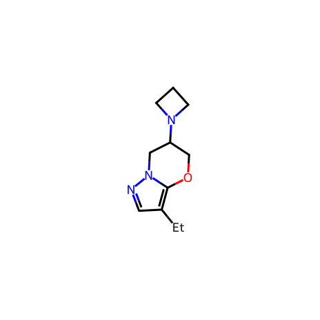 CCc1cnn2c1OCC(N1CCC1)C2